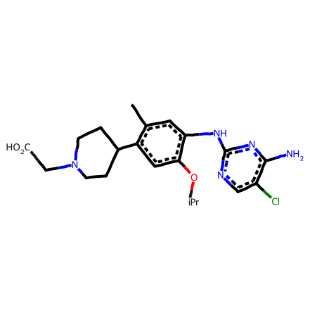 Cc1cc(Nc2ncc(Cl)c(N)n2)c(OC(C)C)cc1C1CCN(CC(=O)O)CC1